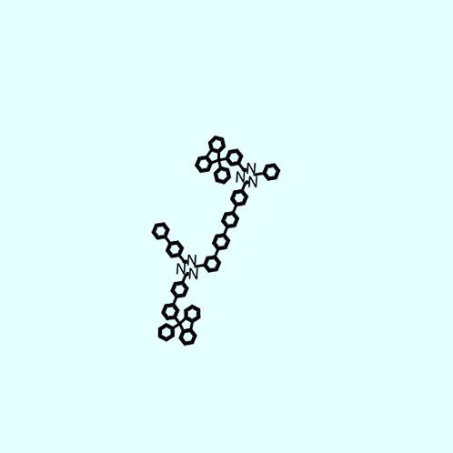 c1ccc(-c2ccc(-c3nc(-c4ccc(-c5cccc(C6(c7ccccc7)c7ccccc7-c7ccccc76)c5)cc4)nc(-c4cccc(-c5ccc(-c6ccc(-c7ccc(-c8nc(-c9ccccc9)nc(-c9cccc(C%10(c%11ccccc%11)c%11ccccc%11-c%11ccccc%11%10)c9)n8)cc7)cc6)cc5)c4)n3)cc2)cc1